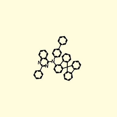 c1ccc(-c2ccc(N(c3cccc4c3-c3ccccc3C43c4ccccc4-c4ccccc43)c3nc(-c4ccccc4)nc4ccccc34)cc2)cc1